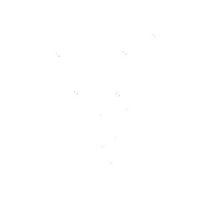 COc1ccc(-n2nc(C(=O)NC(C)(C)C)nc2-c2ccc(N)cn2)cn1